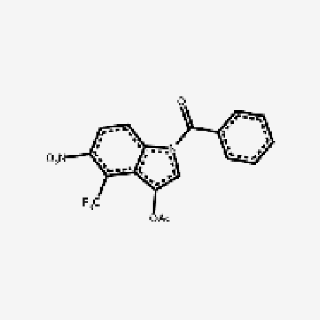 CC(=O)Oc1cn(C(=O)c2ccccc2)c2ccc([N+](=O)[O-])c(C(F)(F)F)c12